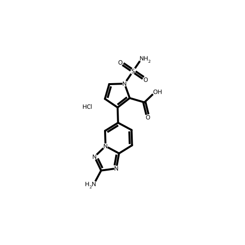 Cl.Nc1nc2ccc(-c3ccn(S(N)(=O)=O)c3C(=O)O)cn2n1